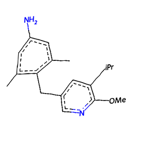 COc1ncc(Cc2c(C)cc(N)cc2C)cc1C(C)C